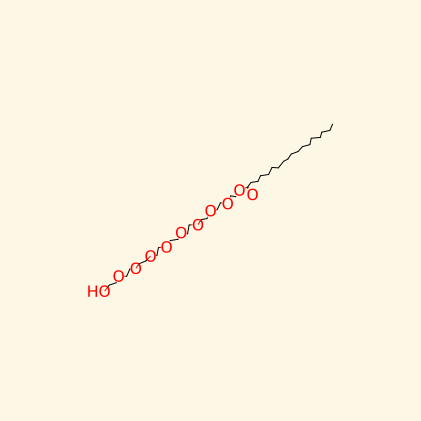 CCCCCCCCCCCCCCCCCC(=O)OCCOCCOCCOCCOCCOCCOCCOCCOCCO